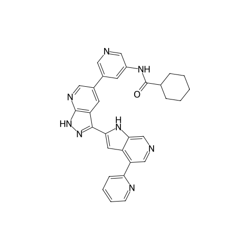 O=C(Nc1cncc(-c2cnc3[nH]nc(-c4cc5c(-c6ccccn6)cncc5[nH]4)c3c2)c1)C1CCCCC1